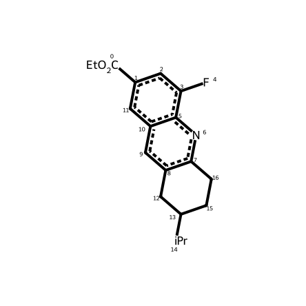 CCOC(=O)c1cc(F)c2nc3c(cc2c1)CC(C(C)C)CC3